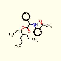 CCCC(CCC)[C@H](CC)OC(=O)C(Nc1ccccc1C(C)=O)c1ccccc1